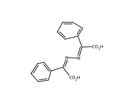 O=C(O)C(=NN=C(C(=O)O)c1ccccc1)c1ccccc1